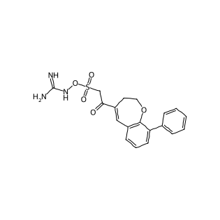 N=C(N)NOS(=O)(=O)CC(=O)C1=Cc2cccc(-c3ccccc3)c2OCC1